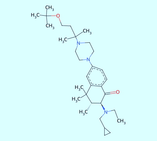 CCN(CC1CC1)[C@@H]1C(=O)c2ccc(N3CCN(C(C)(C)CCOC(C)(C)C)CC3)cc2C(C)(C)[C@H]1C